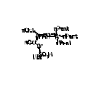 Br.CCCCCCCCN(CCCCCCCC)CCCCCCCC.CCCCC[N+](CCCCC)(CCCCC)CCCCC.O=S(=O)([O-])O